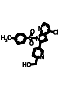 Cc1ccc(S(=O)(=O)n2c(-c3ccc(CO)nc3)cc3c(Cl)ccnc32)cc1